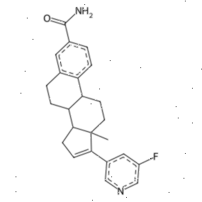 CC12CCC3c4ccc(C(N)=O)cc4CCC3C1CC=C2c1cncc(F)c1